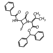 CC(C)=C(C(=O)OC(c1ccccc1)c1ccccc1)N1C(=O)C(NC(=O)Cc2ccccc2)C1F